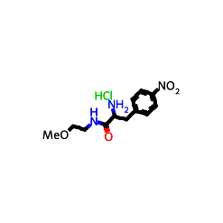 COCCNC(=O)C(N)Cc1ccc([N+](=O)[O-])cc1.Cl